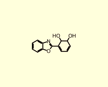 OC1C=CC=C(c2nc3ccccc3o2)C1O